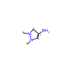 CN1C=C(N)CN1C